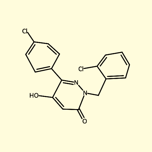 O=c1cc(O)c(-c2ccc(Cl)cc2)nn1Cc1ccccc1Cl